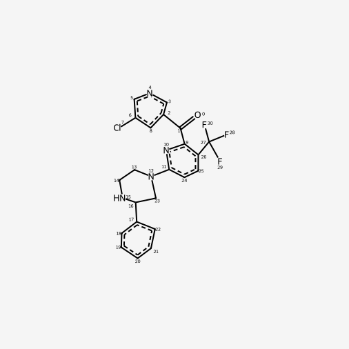 O=C(c1cncc(Cl)c1)c1nc(N2CCNC(c3ccccc3)C2)ccc1C(F)(F)F